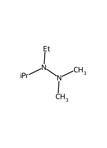 CCN(C(C)C)N(C)C